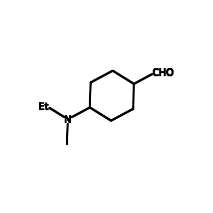 CCN(C)C1CCC(C=O)CC1